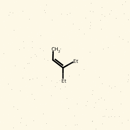 [CH2]C=C(CC)CC